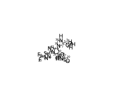 [2H]C([2H])([2H])OCC1CN(c2cc(S(=O)(=O)NC3(C)COC3)cn3c(-c4nnc(C(F)F)s4)ncc23)CCN1